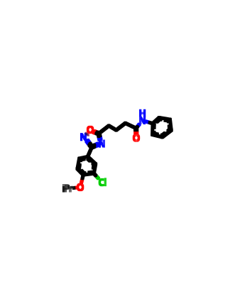 CC(C)Oc1ccc(-c2noc(CCCC(=O)Nc3ccccc3)n2)cc1Cl